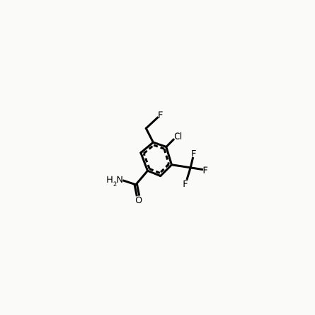 NC(=O)c1cc(CF)c(Cl)c(C(F)(F)F)c1